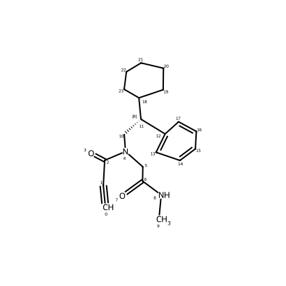 C#CC(=O)N(CC(=O)NC)C[C@@H](c1ccccc1)C1CCCCC1